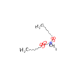 C=CCCCCCCCCC(=O)OC(=O)CCN(C)CCC(=O)OC(=O)CCCCCCCCC=C